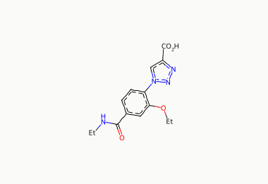 CCNC(=O)c1ccc(-n2cc(C(=O)O)nn2)c(OCC)c1